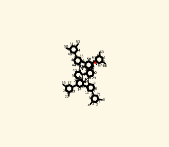 Cc1cc(C)cc(-c2ccc3c(c2)c2cc(-c4cc(C)cc(C)c4)ccc2n3-c2ccc(C#N)cc2-c2ncccc2-n2c3ccc(-c4cc(C)cc(C)c4)cc3c3cc(-c4cc(C)cc(C)c4)ccc32)c1